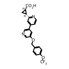 O=C(O)[C@@H]1C[C@H]1c1cc(-c2cncc(OCc3ccc(OC(F)(F)F)cc3)c2)ccn1